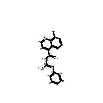 Cc1cccc2c(C(=O)NC(N)=Nc3ccccc3)ccnc12